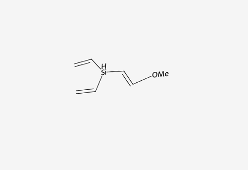 C=C[SiH](C=C)C=COC